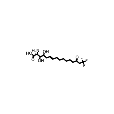 NC(C(=O)O)C(O)C(O)C/C=C/CCCCCCC(=O)CC(F)(F)F